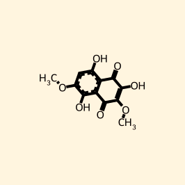 COC1=C(O)C(=O)c2c(O)cc(OC)c(O)c2C1=O